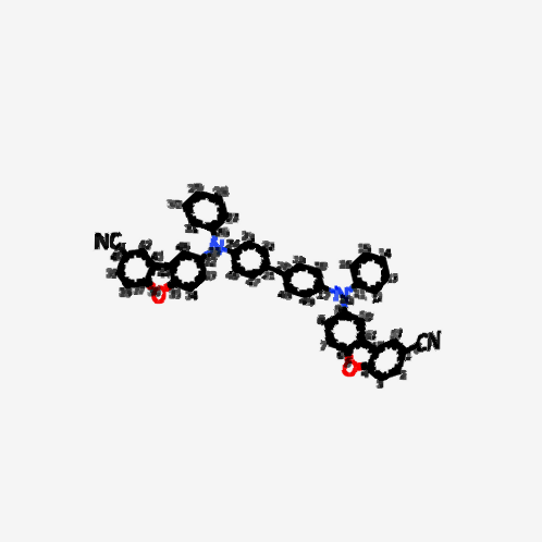 N#Cc1ccc2oc3ccc(N(c4ccccc4)c4ccc(-c5ccc(N(c6ccccc6)c6ccc7oc8ccc(C#N)cc8c7c6)cc5)cc4)cc3c2c1